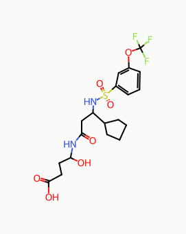 O=C(O)CCC(O)NC(=O)CC(NS(=O)(=O)c1cccc(OC(F)(F)F)c1)C1CCCC1